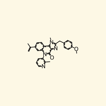 C=C(C)c1ccc2c3c(nc(Cc4ccc(OC)cc4)n3C)c(=O)n(-c3cccnc3C)c2c1